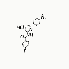 CN(C)C1CC=C(c2cccc(NC(=O)c3ccc(F)cc3)n2)CC1.Cl